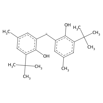 Cc1cc([C]c2cc(C)cc(C(C)(C)C)c2O)c(O)c(C(C)(C)C)c1